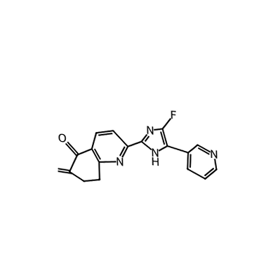 C=C1CCc2nc(-c3nc(F)c(-c4cccnc4)[nH]3)ccc2C1=O